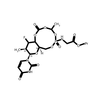 CC(C)OC(=O)CNP1(=O)OC[C@H]2O[C@@H](n3ccc(=O)[nH]c3=O)[C@@H](C)C(F)C2OC(=O)OC(C)O1